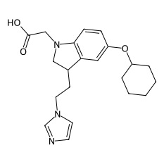 O=C(O)CN1CC(CCn2ccnc2)c2cc(OC3CCCCC3)ccc21